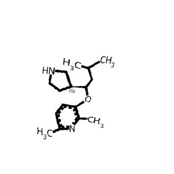 Cc1ccc(OC(CC(C)C)[C@H]2CCNC2)c(C)n1